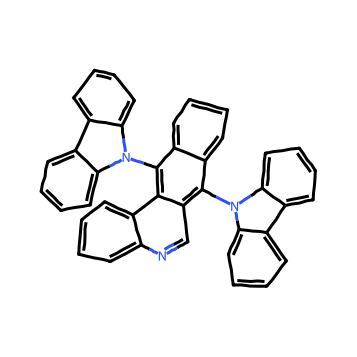 c1ccc2c(c1)ncc1c(-n3c4ccccc4c4ccccc43)c3ccccc3c(-n3c4ccccc4c4ccccc43)c12